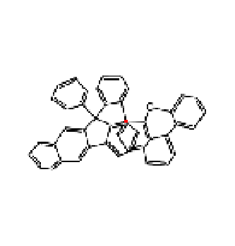 c1ccc(C2(c3ccccc3-c3ccc4cccc5c4c3Oc3ccccc3-5)c3ccccc3-c3cc4ccccc4cc32)cc1